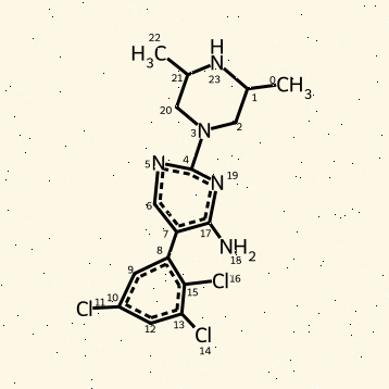 CC1CN(c2ncc(-c3cc(Cl)cc(Cl)c3Cl)c(N)n2)CC(C)N1